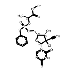 C#CC1(Cl)[C@@H](O)[C@@H](COP(=O)(Oc2ccccc2)O[C@@H](C)C(=O)OC(C)C)O[C@H]1n1cnc(=O)[nH]c1=O